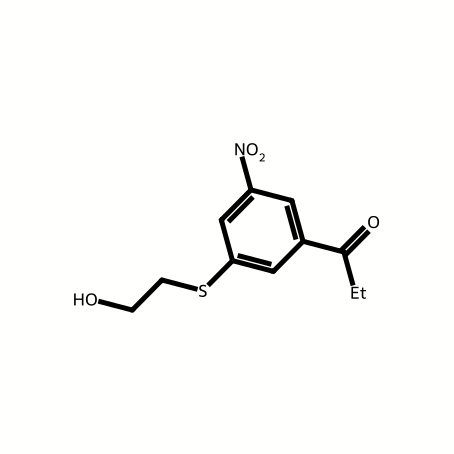 CCC(=O)c1cc(SCCO)cc([N+](=O)[O-])c1